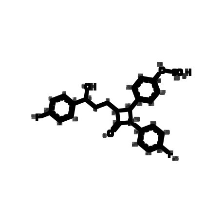 O=C1C(CCC(O)c2ccc(F)cc2)C(c2ccc(OS(=O)(=O)O)cc2)N1c1ccc(F)cc1